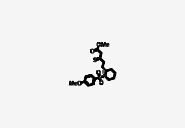 COC(=O)CC(=S)CC[C@H]1CCCCN1S(=O)(=O)c1ccc(OC)cc1